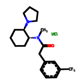 CN(C(=O)Cc1cccc(C(F)(F)F)c1)[C@@H]1CCCC[C@H]1N1CCCC1.Cl